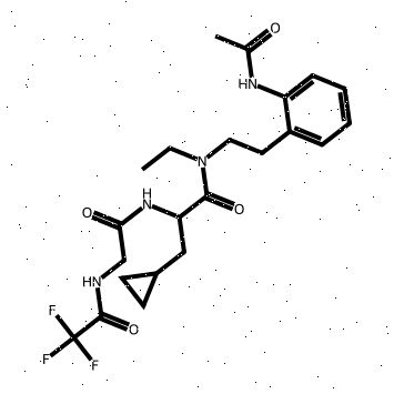 CCN(CCc1ccccc1NC(C)=O)C(=O)C(CC1CC1)NC(=O)CNC(=O)C(F)(F)F